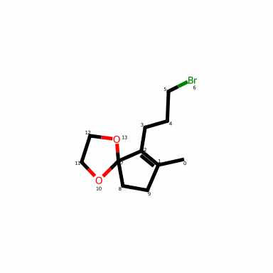 CC1=C(CCCBr)C2(CC1)OCCO2